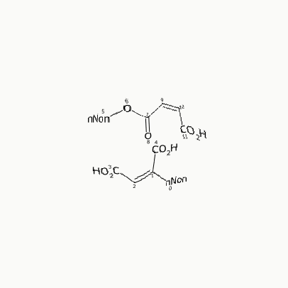 CCCCCCCCC/C(=C/C(=O)O)C(=O)O.CCCCCCCCCOC(=O)/C=C\C(=O)O